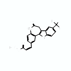 COC(=O)/C=C\c1ccc2c(c1)-c1[nH]c3ccc(C(F)(F)F)cc3c1CC(=O)N2